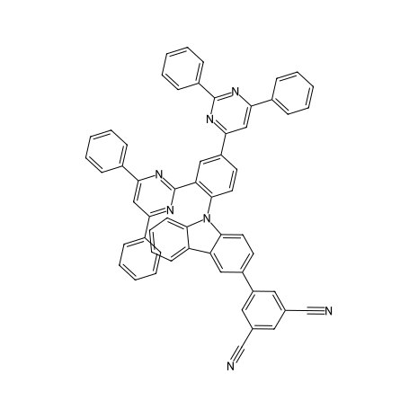 N#Cc1cc(C#N)cc(-c2ccc3c(c2)c2ccccc2n3-c2ccc(-c3cc(-c4ccccc4)nc(-c4ccccc4)n3)cc2-c2nc(-c3ccccc3)cc(-c3ccccc3)n2)c1